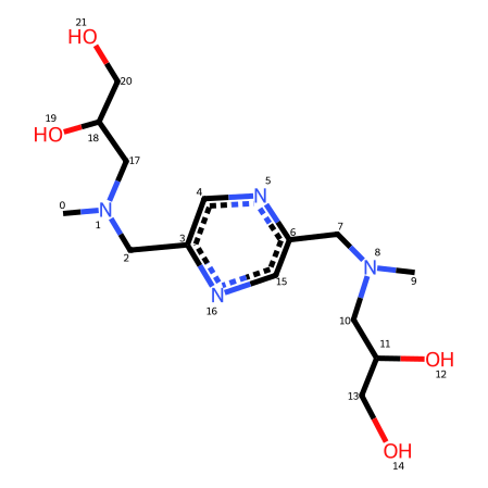 CN(Cc1cnc(CN(C)CC(O)CO)cn1)CC(O)CO